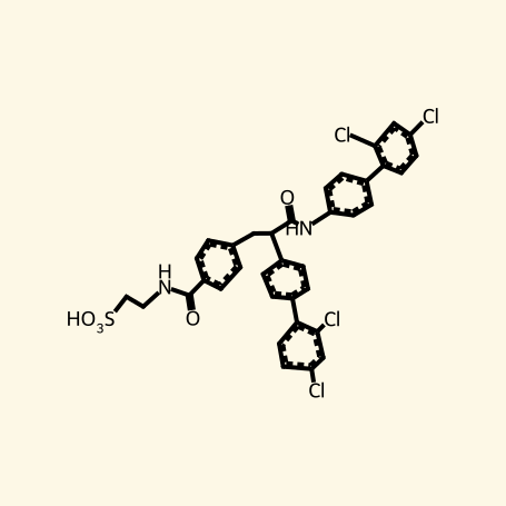 O=C(NCCS(=O)(=O)O)c1ccc(CC(C(=O)Nc2ccc(-c3ccc(Cl)cc3Cl)cc2)c2ccc(-c3ccc(Cl)cc3Cl)cc2)cc1